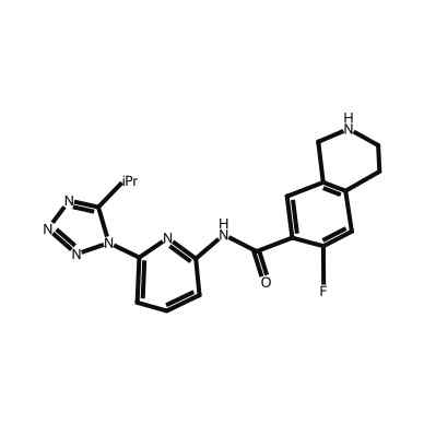 CC(C)c1nnnn1-c1cccc(NC(=O)c2cc3c(cc2F)CCNC3)n1